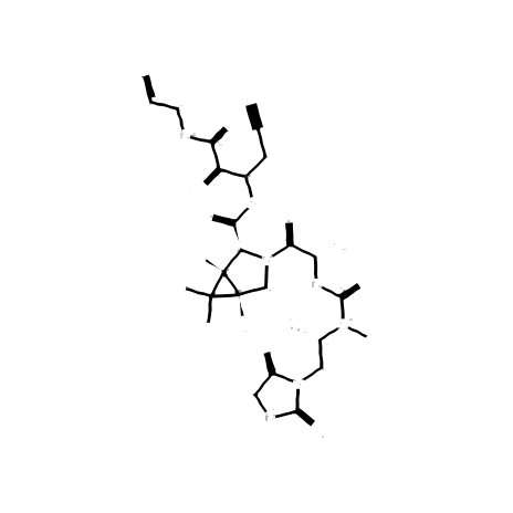 C#CCC(NC(=O)[C@@H]1[C@@H]2[C@H](CN1C(=O)[C@@H](NC(=O)N(C)[C@H](CN1C(=O)CNC1=O)C(C)(C)C)C(C)(C)C)C2(C)C)C(=O)C(=O)NCC=C